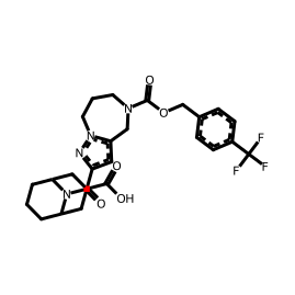 O=C(O)C1CC2CCCC(C1)N2C(=O)c1cc2n(n1)CCCN(C(=O)OCc1ccc(C(F)(F)F)cc1)C2